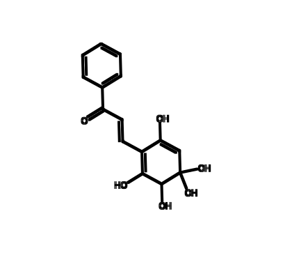 O=C(C=CC1=C(O)C(O)C(O)(O)C=C1O)c1ccccc1